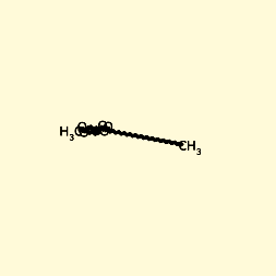 CCCCCCCCCCCCCCCCCCCCCCCCCCCC(=O)OC(=O)c1ccc2cc(OC(C)=O)ccc2c1